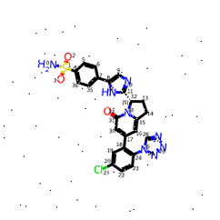 NS(=O)(=O)c1ccc(-c2cnc([C@@H]3CCc4cc(-c5cc(Cl)ccc5-n5cnnn5)cc(=O)n43)[nH]2)cc1